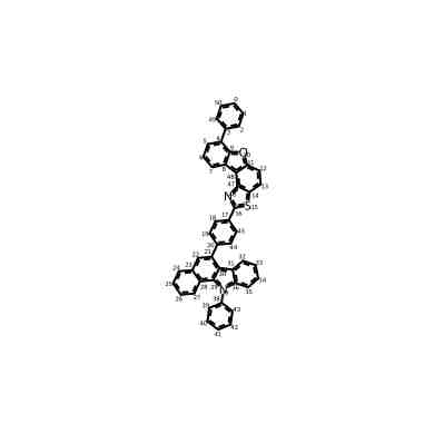 c1ccc(-c2cccc3c2oc2ccc4sc(-c5ccc(-c6cc7ccccc7c7c6c6ccccc6n7-c6ccccc6)cc5)nc4c23)cc1